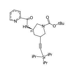 CC(C)[Si](C#CC1C[C@@H](NC(=O)c2ccccn2)CN(C(=O)OC(C)(C)C)C1)(C(C)C)C(C)C